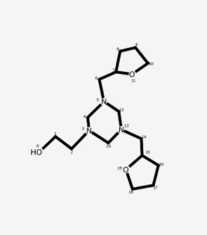 OCCN1CN(CC2CCCO2)CN(CC2CCCO2)C1